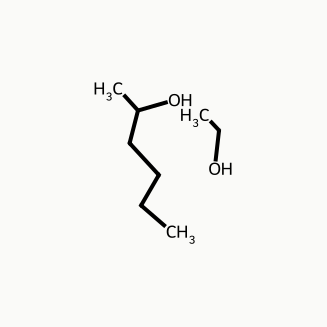 CCCCC(C)O.CCO